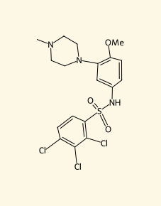 COc1ccc(NS(=O)(=O)c2ccc(Cl)c(Cl)c2Cl)cc1N1CCN(C)CC1